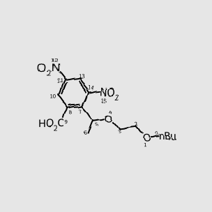 CCCCOCCOC(C)c1c(C(=O)O)cc([N+](=O)[O-])cc1[N+](=O)[O-]